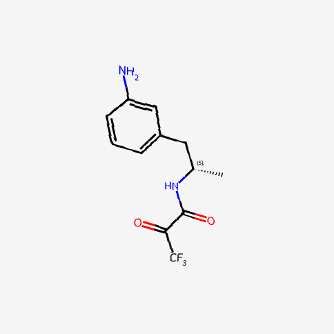 C[C@@H](Cc1cccc(N)c1)NC(=O)C(=O)C(F)(F)F